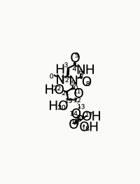 CNc1cc(=O)[nH]c(=O)n1[C@@H]1O[C@H](COP(=O)(O)O)C(O)C1O